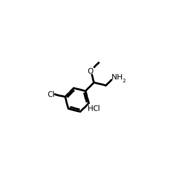 COC(CN)c1cccc(Cl)c1.Cl